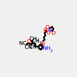 CC1(C)OC(=C(C#N)C#N)C(C#N)=C1/C=C/c1ccc(N)c(OCCCCCC(=O)ON2C(=O)CCC2=O)c1